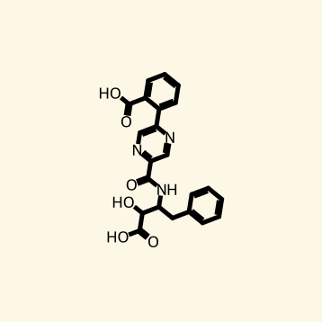 O=C(NC(Cc1ccccc1)C(O)C(=O)O)c1cnc(-c2ccccc2C(=O)O)cn1